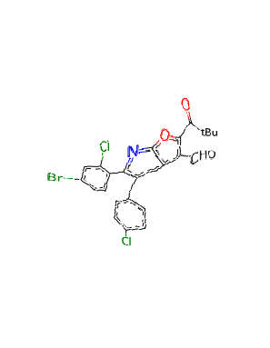 CC(C)(C)C(=O)c1oc2nc(-c3ccc(Br)cc3Cl)c(-c3ccc(Cl)cc3)cc2c1C=O